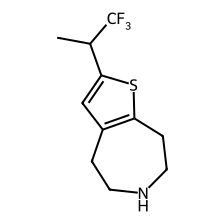 CC(c1cc2c(s1)CCNCC2)C(F)(F)F